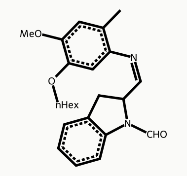 CCCCCCOc1cc(/N=C\C2Cc3ccccc3N2C=O)c(C)cc1OC